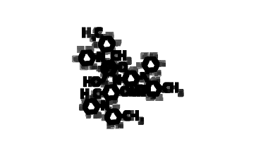 COc1cc(N(c2ccccc2)c2cccc(C)c2)c(C)cc1N(c1cc(C)c(N(c2ccccc2)c2cccc(C)c2)cc1CO)c1cc(C)c(N(c2ccccc2)c2cccc(C)c2)cc1OC